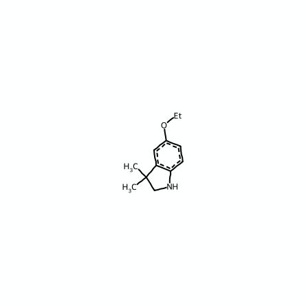 CCOc1ccc2c(c1)C(C)(C)CN2